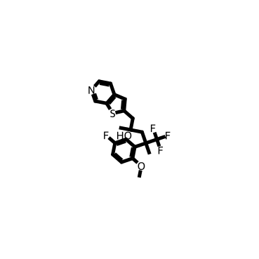 COc1ccc(F)cc1C(C)(CC(C)(O)Cc1cc2ccncc2s1)C(F)(F)F